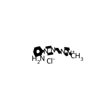 C[n+]1ccn(CCN2CCN(c3ccccc3N)CC2)c1.[Cl-]